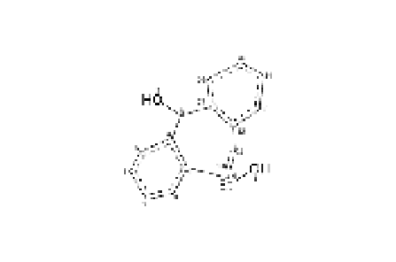 CCO.OC1c2ccccc2C=Cc2ccccc21